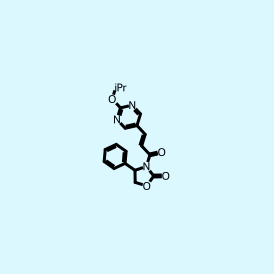 CC(C)Oc1ncc(C=CC(=O)N2C(=O)OCC2c2ccccc2)cn1